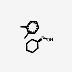 Cc1ccccc1C.ON=C1CCCCC1